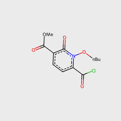 CCCCOn1c(C(=O)Cl)ccc(C(=O)OC)c1=O